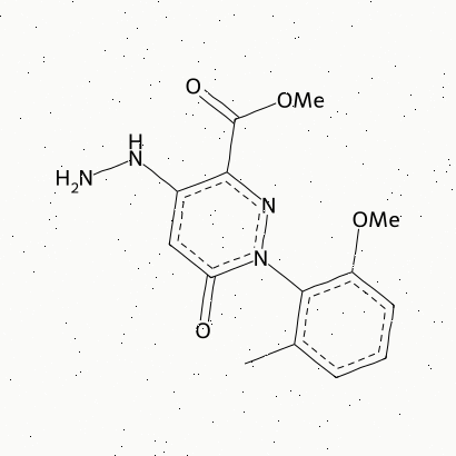 COC(=O)c1nn(-c2c(C)cccc2OC)c(=O)cc1NN